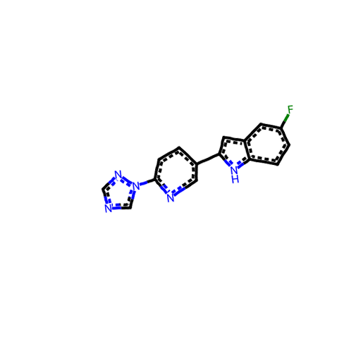 Fc1ccc2[nH]c(-c3ccc(-n4cncn4)nc3)cc2c1